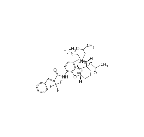 C=CC[N+]1(CC(C)C)CC[C@]23c4c5ccc(NC(=O)C(=Cc6ccccc6)C(F)(F)F)c4O[C@H]2CCCC3(OC(C)=O)[C@H]1C5